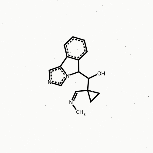 C/N=C\C1(C(O)C2c3ccccc3-c3cncn32)CC1